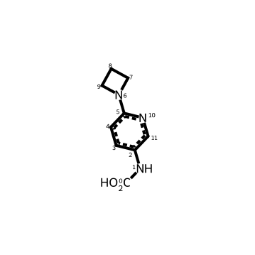 O=C(O)Nc1ccc(N2CCC2)nc1